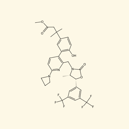 COC(=O)CC(C)(C)c1ccc(O)c(-c2ccc(N3CCC3)nc2CN2C(=O)O[C@H](c3cc(C(F)(F)F)cc(C(F)(F)F)c3)[C@@H]2C)c1